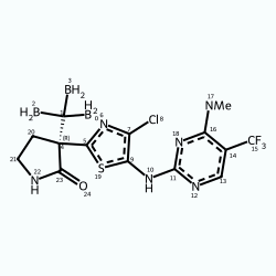 BC(B)(B)[C@@]1(c2nc(Cl)c(Nc3ncc(C(F)(F)F)c(NC)n3)s2)CCNC1=O